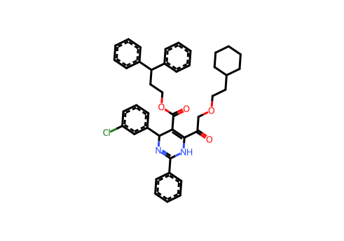 O=C(COCCC1CCCCC1)C1=C(C(=O)OCCC(c2ccccc2)c2ccccc2)C(c2cccc(Cl)c2)N=C(c2ccccc2)N1